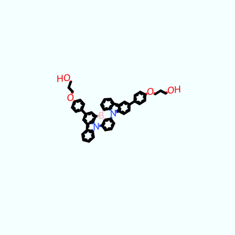 OCCCOc1ccc(-c2ccc3c(c2)c2cccc4c2n3-c2cccc3c2B4c2cc(-c4ccc(OCCCO)cc4)cc4c5ccccc5n-3c24)cc1